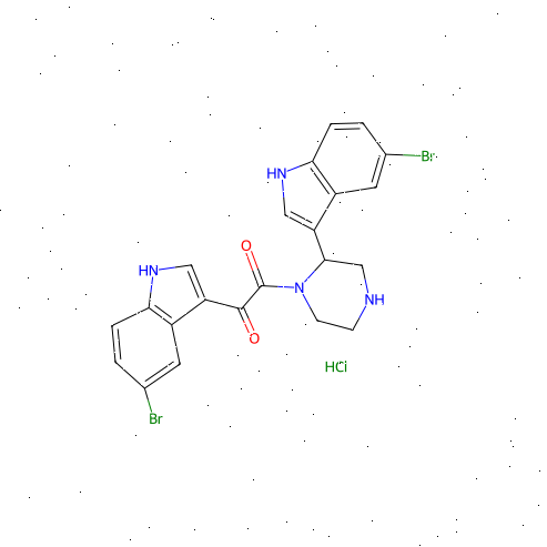 Cl.O=C(C(=O)N1CCNCC1c1c[nH]c2ccc(Br)cc12)c1c[nH]c2ccc(Br)cc12